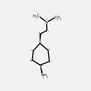 CN(C)CC[C@H]1CC[C@@H](N)CC1